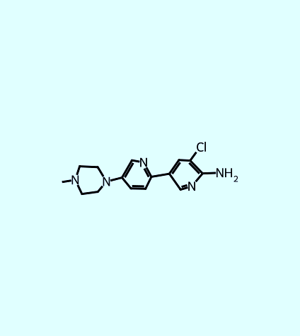 CN1CCN(c2ccc(-c3cnc(N)c(Cl)c3)nc2)CC1